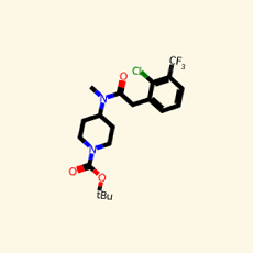 CN(C(=O)Cc1cccc(C(F)(F)F)c1Cl)C1CCN(C(=O)OC(C)(C)C)CC1